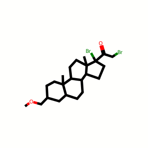 COCC1CCC2(C)C(CCC3C2CCC2(C)C3CCC2(Br)C(=O)CBr)C1